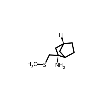 CSC[C@]1(N)C[C@@H]2CCC1C2